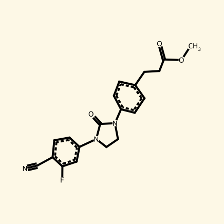 COC(=O)CCc1ccc(N2CCN(c3ccc(C#N)c(F)c3)C2=O)cc1